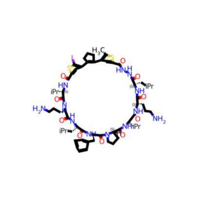 Cc1sc2cc1C1=C(CCC1)c1cc(sc1I)C(=O)N[C@@H](C(C)C)C(=O)N[C@@H](CCCN)C(=O)N[C@@H](CC(C)C)C(=O)N[C@H](Cc1ccccc1)C(=O)N1CCC[C@H]1C(=O)N[C@@H](C(C)C)C(=O)N[C@@H](CCCN)C(=O)N[C@@H](CC(C)C)C(=O)NNC2=O